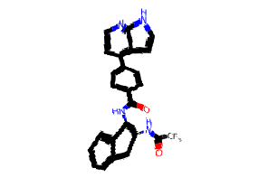 O=C(N[C@@H]1c2ccccc2C[C@H]1NC(=O)C(F)(F)F)c1ccc(-c2ccnc3[nH]ccc23)cc1